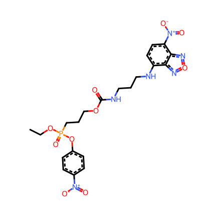 CCOP(=O)(CCCOC(=O)NCCCNc1ccc([N+](=O)[O-])c2nonc12)Oc1ccc([N+](=O)[O-])cc1